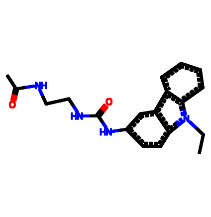 CCn1c2ccccc2c2cc(NC(=O)NCCNC(C)=O)ccc21